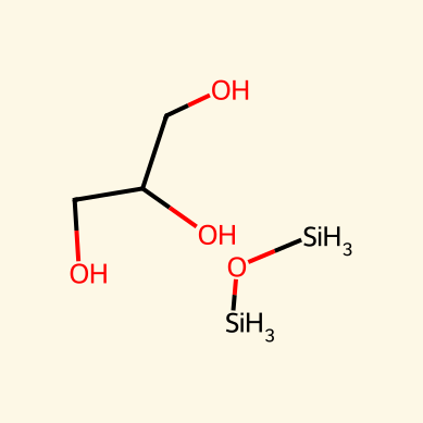 OCC(O)CO.[SiH3]O[SiH3]